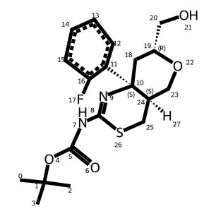 CC(C)(C)OC(=O)NC1=N[C@@]2(c3ccccc3F)C[C@H](CO)OC[C@H]2CS1